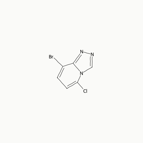 Clc1ccc(Br)c2nncn12